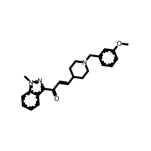 COc1cccc(CN2CCC(C=CC(=O)c3nn(C)c4ccccc34)CC2)c1